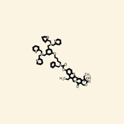 CCc1c2c(nc3ccc(OC(=O)N(CCCCOc4cc(CN(Cc5ccccn5)Cc5ccccn5)cc(CN(Cc5ccccn5)Cc5ccccn5)c4)Cc4ccccc4)cc13)-c1cc3c(c(=O)n1C2)COC(=O)[C@@]3(O)CC